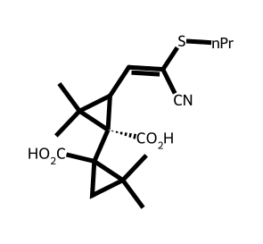 CCCS/C(C#N)=C/C1C(C)(C)[C@]1(C(=O)O)C1(C(=O)O)CC1(C)C